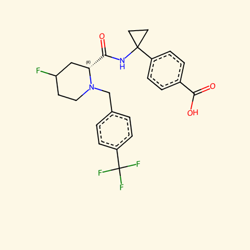 O=C(O)c1ccc(C2(NC(=O)[C@H]3CC(F)CCN3Cc3ccc(C(F)(F)F)cc3)CC2)cc1